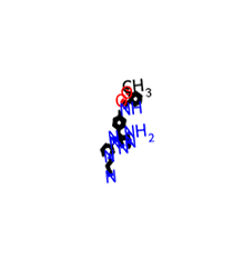 COc1ccccc1C(=O)NCc1ccc(-c2nn([C@@H]3CCCN(CCC#N)C3)c3ncnc(N)c23)cc1